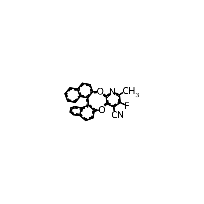 Cc1nc2oc3ccc4ccccc4c3c3c(ccc4ccccc43)oc2c(C#N)c1F